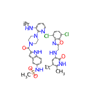 CC(C)Nc1cccnc1N1CCN(C(=O)c2cc3cc(NS(C)(=O)=O)ccc3[nH]2)CC1.CCc1cc(NCc2nc3c(Cl)ccc(Cl)c3o2)c(=O)[nH]c1C